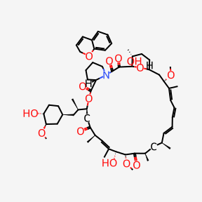 C1=Cc2ccccc2OC1.CO[C@H]1C[C@@H]2CC[C@@H](C)[C@@](O)(O2)C(=O)C(=O)N2CCCC[C@H]2C(=O)O[C@H]([C@H](C)C[C@@H]2CC[C@@H](O)[C@H](OC)C2)CC(=O)[C@H](C)/C=C(\C)[C@@H](O)[C@@H](OC)C(=O)[C@H](C)C[C@H](C)/C=C/C=C/C=C/1C